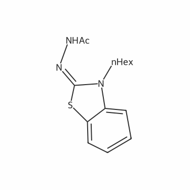 CCCCCCn1c(=NNC(C)=O)sc2ccccc21